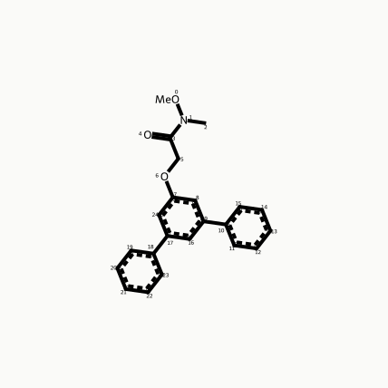 CON(C)C(=O)COc1cc(-c2ccccc2)cc(-c2ccccc2)c1